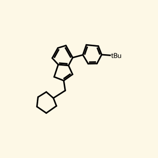 CC(C)(C)c1ccc(-c2cccc3c2C=C(CC2CCCCC2)C3)cc1